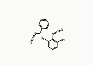 CC(C)c1cccc(C(C)C)c1N=C=O.O=C=NCc1ccccc1